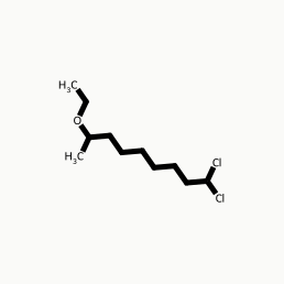 CCOC(C)CCCCCCC(Cl)Cl